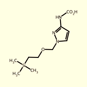 C[Si](C)(C)CCOCn1ccc(NC(=O)O)n1